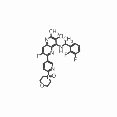 Cc1nc2cc(F)c(-c3ccc(P4(=O)CCOCC4)nc3)nc2c(NC(C)c2cccc(F)c2F)c1Cl